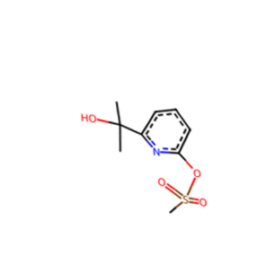 CC(C)(O)c1cccc(OS(C)(=O)=O)n1